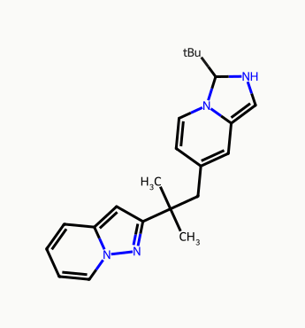 CC(C)(CC1=CC2=CNC(C(C)(C)C)N2C=C1)c1cc2ccccn2n1